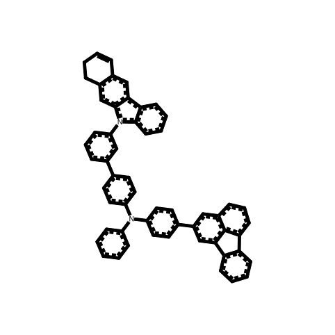 C1=Cc2cc3c4ccccc4n(-c4cccc(-c5ccc(N(c6ccccc6)c6ccc(-c7cc8c9c(cccc9c7)-c7ccccc7-8)cc6)cc5)c4)c3cc2CC1